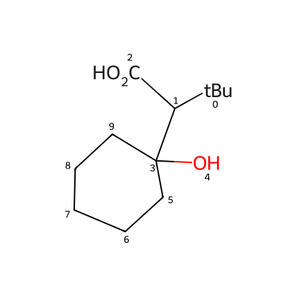 CC(C)(C)C(C(=O)O)C1(O)CCCCC1